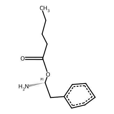 CCCCC(=O)O[C@@H](N)Cc1ccccc1